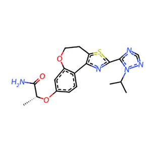 CC(C)n1ncnc1-c1nc2c(s1)CCOc1cc(O[C@H](C)C(N)=O)ccc1-2